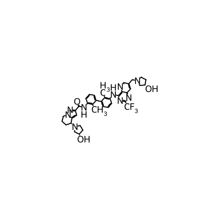 Cc1c(NC(=O)c2cc3n(n2)CCC[C@H]3N2CC[C@@H](O)C2)cccc1-c1cccc(Nc2nc(C(F)(F)F)nc3cc(CN4CC[C@@H](O)C4)cnc23)c1C